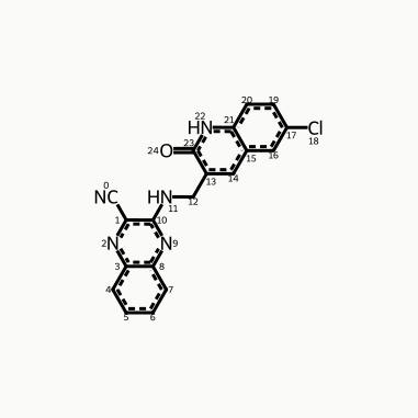 N#Cc1nc2ccccc2nc1NCc1cc2cc(Cl)ccc2[nH]c1=O